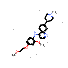 COCCOc1ccc(Nc2ccnc3cc(C4CCN(C)CC4)ccc23)c(OC)c1